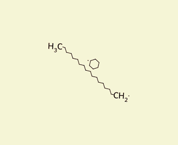 [CH2]CCCCCCCCCCCCCCCCC.[CH]1CCCCC1